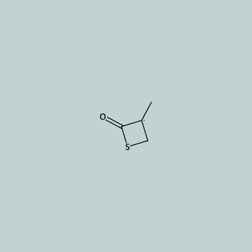 C[C]1CSC1=O